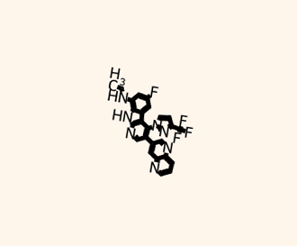 CCNc1cc(F)cc2c1[nH]c1ncc(-c3cnc4cccnc4c3)c(-n3ccc(C(F)(F)F)n3)c12